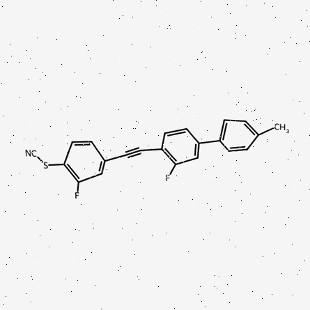 Cc1ccc(-c2ccc(C#Cc3ccc(SC#N)c(F)c3)c(F)c2)cc1